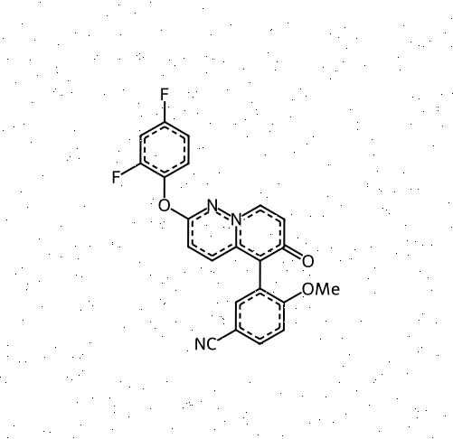 COc1ccc(C#N)cc1-c1c(=O)ccn2nc(Oc3ccc(F)cc3F)ccc12